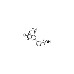 CC(C)(O)c1cccc(-c2ccc3c(c2)sc(=O)n3CC2CC2(F)F)c1